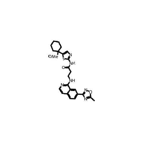 COC1(c2cnc(NC(=O)CCNc3nccc4ccc(-c5noc(C)n5)cc34)s2)CCCCC1